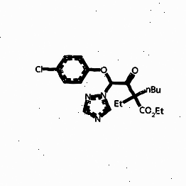 CCCCC(CC)(C(=O)OCC)C(=O)C(Oc1ccc(Cl)cc1)n1cncn1